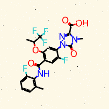 Cc1cccc(F)c1NC(=O)c1cc(F)c(-n2nc(C(=O)O)n(C)c2=O)cc1OC(C)C(F)(F)F